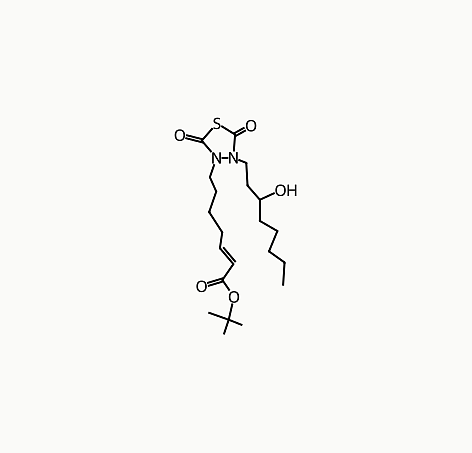 CCCCCC(O)CCn1c(=O)sc(=O)n1CCCCC=CC(=O)OC(C)(C)C